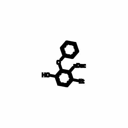 CCCCCCCCCCc1c(CC)ccc(O)c1Oc1ccccc1